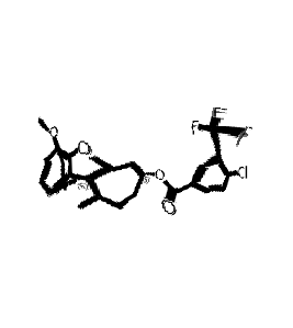 COc1ccc2c3c1OC1C[C@@H](OC(=O)c4ccc(Cl)c(C(F)(F)F)c4)CCC(C)[C@@]31CCN(C)C2